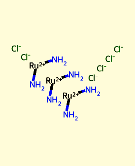 [Cl-].[Cl-].[Cl-].[Cl-].[Cl-].[Cl-].[NH2][Ru+2][NH2].[NH2][Ru+2][NH2].[NH2][Ru+2][NH2]